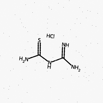 Cl.N=C(N)NC(N)=S